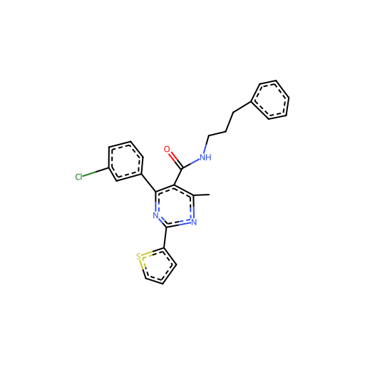 Cc1nc(-c2cccs2)nc(-c2cccc(Cl)c2)c1C(=O)NCCCc1ccccc1